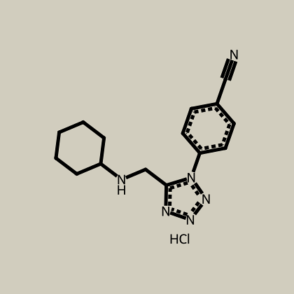 Cl.N#Cc1ccc(-n2nnnc2CNC2CCCCC2)cc1